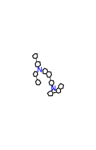 c1ccc(-c2ccc(N(c3cccc(-c4ccccc4)c3)c3ccc4ccc(-c5ccc(-n6c7ccccc7c7ccc8ccccc8c76)cc5)cc4c3)cc2)cc1